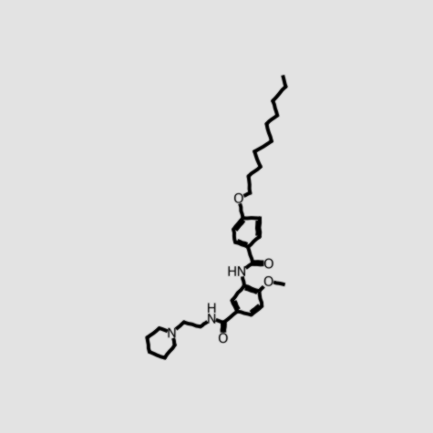 CCCCCCCCCCOc1ccc(C(=O)Nc2cc(C(=O)NCCN3CCCCC3)ccc2OC)cc1